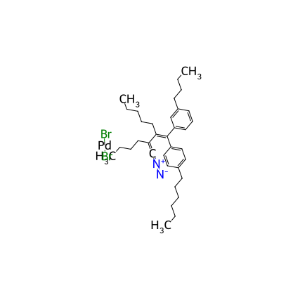 CCCCCCc1ccc(C(=C(CCCCC)C(=C=[N+]=[N-])CCCC)c2cccc(CCCC)c2)cc1.[Br][Pd][Br]